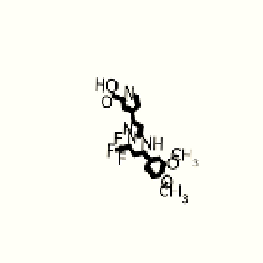 COc1ccc(C2CC(C(F)(F)F)n3nc(-c4ccnc(C(=O)O)c4)cc3N2)cc1OC